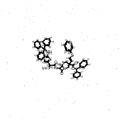 O=C(NC1C(=O)N2CC(C=CSc3cccnc3)(C(=O)OC(c3ccccc3)c3ccccc3)CS[C@H]12)C(O)c1csc(NC(c2ccccc2)(c2ccccc2)c2ccccc2)n1